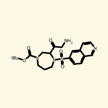 CC(C)(C)OC(=O)N1CCCN(S(=O)(=O)c2ccc3cnccc3c2)C(C(=O)CN)C1